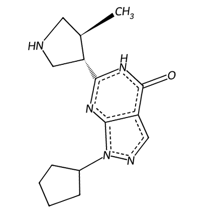 C[C@@H]1CNC[C@H]1c1nc2c(cnn2C2CCCC2)c(=O)[nH]1